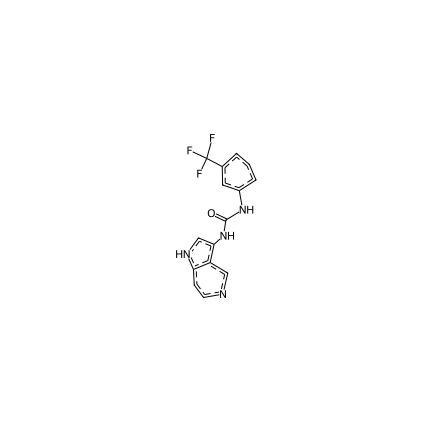 O=C(Nc1cccc(C(F)(F)F)c1)Nc1c[nH]c2ccncc12